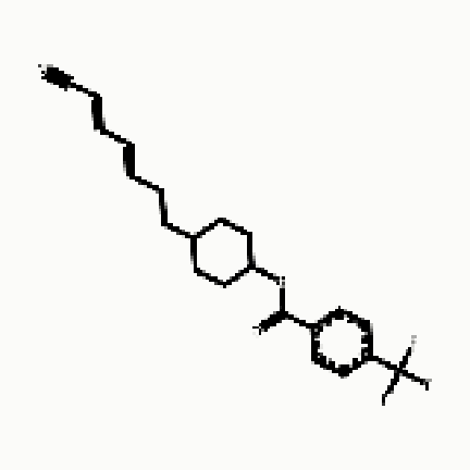 N#CC=CC=CCCC1CCC(OC(=O)c2ccc(C(F)(F)F)cc2)CC1